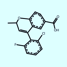 CC1C=C(c2c(F)cccc2Cl)c2cc(C(=O)O)ccc2O1